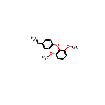 C=Cc1ccc(Oc2c(OC)cccc2OC)cc1